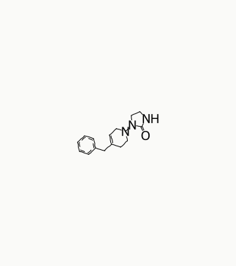 O=C1NCCN1N1CC=C(Cc2ccccc2)CC1